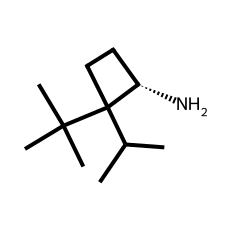 CC(C)C1(C(C)(C)C)CC[C@@H]1N